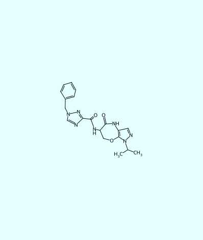 CC(C)n1ncc2c1OCC(NC(=O)c1ncn(Cc3ccccc3)n1)C(=O)N2